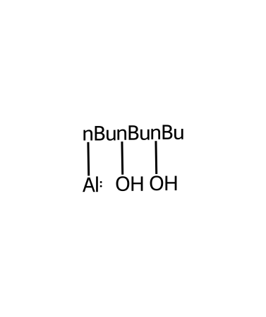 CCCCO.CCCCO.CCC[CH2][Al]